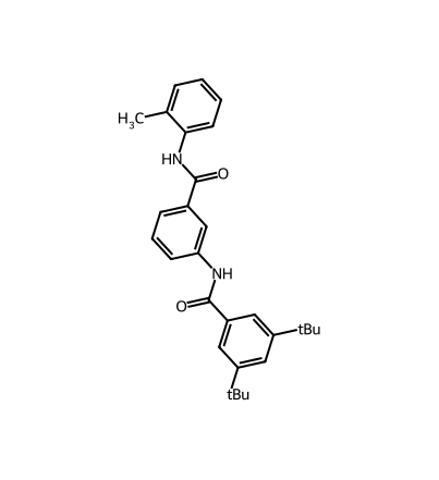 Cc1ccccc1NC(=O)c1cccc(NC(=O)c2cc(C(C)(C)C)cc(C(C)(C)C)c2)c1